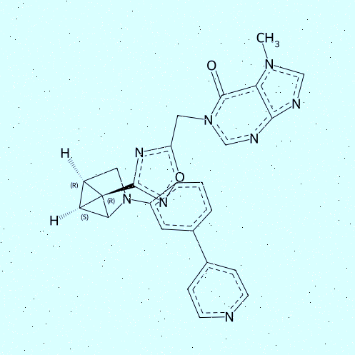 Cn1cnc2ncn(Cc3nc([C@@]45C6[C@H]4[C@H]5CN6c4cccc(-c5ccncc5)c4)no3)c(=O)c21